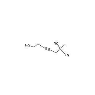 CC(C#N)(C#N)CC#CCCO